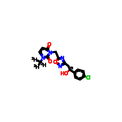 [2H]C([2H])([2H])n1ccc(=O)n(Cc2nc(C[C@H](O)c3ccc(Cl)cc3)no2)c1=O